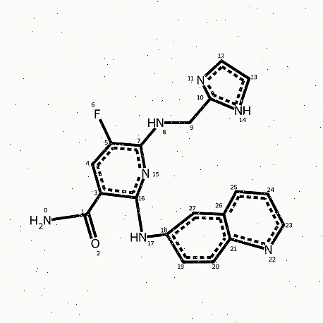 NC(=O)c1cc(F)c(NCc2ncc[nH]2)nc1Nc1ccc2ncccc2c1